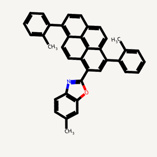 Cc1ccc2nc(-c3cc(-c4ccccc4C)c4ccc5ccc(-c6ccccc6C)c6ccc3c4c56)oc2c1